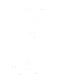 COc1ccc(/C=C/C(=O)Nc2ccc(/C=C/c3cc(OC)c(OC)c(OC)c3)cc2O)cc1OC